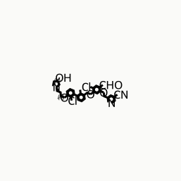 Cc1c(COc2cc(OCc3cncc(C#N)c3)c(C=O)cc2Cl)cccc1-c1cccc(O[C@H](C)CCN2CC[C@@H](O)C2)c1Cl